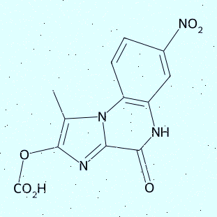 Cc1c(OC(=O)O)nc2c(=O)[nH]c3cc([N+](=O)[O-])ccc3n12